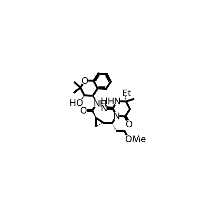 CC[C@]1(C)CC(=O)N([C@H](CCOC)[C@@H]2C[C@H]2C(=O)N[C@@H]2c3ccccc3OC(C)(C)[C@H]2O)C(=N)N1